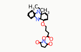 CCN1c2ccccc2N=C2C(OCCCC(=O)ON3C(=O)CCC3=O)=CC=CC21C